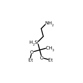 CCOC(C)(OCC)[SiH2]CCN